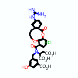 Cl.N=C(N)Nc1ccc2c(c1)CCCOc1c(cccc1C(=O)N(Cc1cc(O)cc(C(=O)O)c1)C(CC(=O)O)C(=O)O)OC2=O